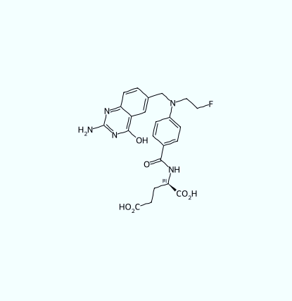 Nc1nc(O)c2cc(CN(CCF)c3ccc(C(=O)N[C@H](CCC(=O)O)C(=O)O)cc3)ccc2n1